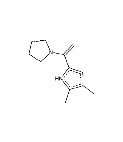 C=C(c1cc(C)c(C)[nH]1)N1CCCC1